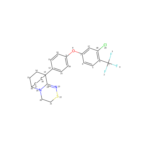 FC(F)(F)c1ccc(Oc2ccc(C34CCC(CC3)N3CCSN=C34)cc2)cc1Cl